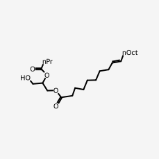 CCCCCCCCC=CCCCCCCCC(=O)OCC(CO)OC(=O)CCC